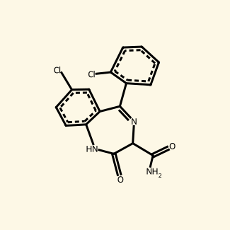 NC(=O)C1N=C(c2ccccc2Cl)c2cc(Cl)ccc2NC1=O